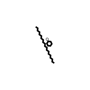 CCCCCCCCCCCCCCCCCCCC.O=C1CCCCC1